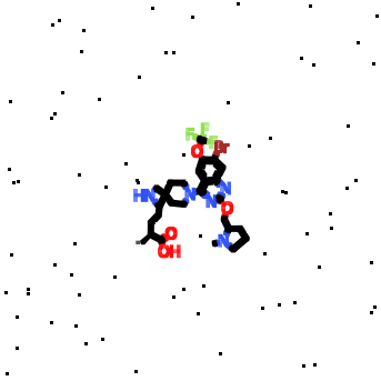 [CH2][C@@H](CCC1NCC12CCN(c1nc(OCC3CCCN3C)nc3cc(Br)c(OC(F)(F)F)cc13)CC2)C(=O)O